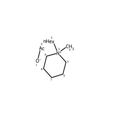 CC(=O)[O-].CCCCCC[N+]1(C)CCCCC1